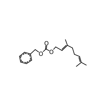 CC(C)=CCC/C(C)=C/COC(=O)OCc1ccccc1